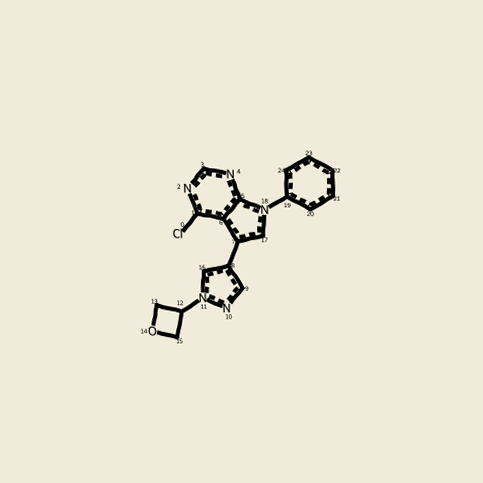 Clc1ncnc2c1c(-c1cnn(C3COC3)c1)cn2-c1ccccc1